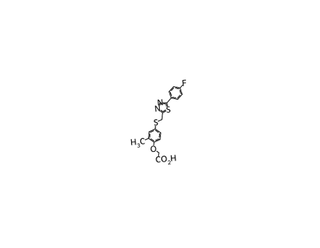 Cc1cc(SCc2nnc(-c3ccc(F)cc3)s2)ccc1OCC(=O)O